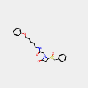 O=C(CN1C(=O)CC1[S+]([O-])Cc1ccccc1)NCCCCCOc1ccccc1